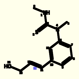 CNC(=S)N(C)c1cccc(/C=C/CO)c1